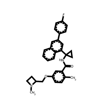 Cc1ccc(OCC2CCN2C)cc1C(=O)NC1(c2cc(-c3ccc(F)cc3)cc3ccccc23)CC1